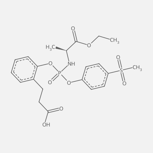 CCOC(=O)[C@H](C)NP(=O)(Oc1ccc(S(C)(=O)=O)cc1)Oc1ccccc1CCC(=O)O